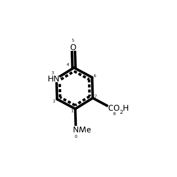 CNc1c[nH]c(=O)cc1C(=O)O